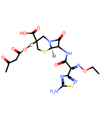 CCON=C(C(=O)NC1C(=O)N2CC(COC(=O)CC(C)=O)(C(=O)O)CS[C@H]12)c1nsc(N)n1